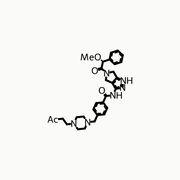 CO[C@H](C(=O)N1Cc2[nH]nc(NC(=O)c3ccc(CN4CCN(CCC(C)=O)CC4)cc3)c2C1)c1ccccc1